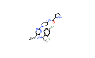 COc1cnc(N2CCC(NC(=O)[C@H]3CCCN3)CC2)nc1N[C@H](C)c1ccc(Cl)cc1Cl